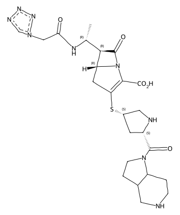 C[C@@H](NC(=O)Cn1cnnn1)[C@H]1C(=O)N2C(C(=O)O)=C(S[C@@H]3CN[C@H](C(=O)N4CCC5CNCCC54)C3)C[C@H]12